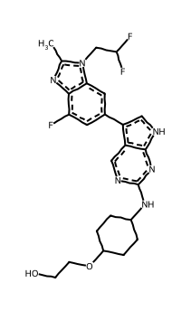 Cc1nc2c(F)cc(-c3c[nH]c4nc(NC5CCC(OCCO)CC5)ncc34)cc2n1CC(F)F